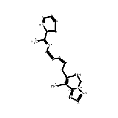 CCCC1=C(C\C=C/C=C\N=C(/C)c2ccccn2)NCn2ncnc21